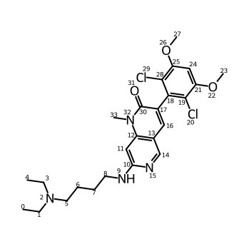 CCN(CC)CCCCNc1cc2c(cn1)cc(-c1c(Cl)c(OC)cc(OC)c1Cl)c(=O)n2C